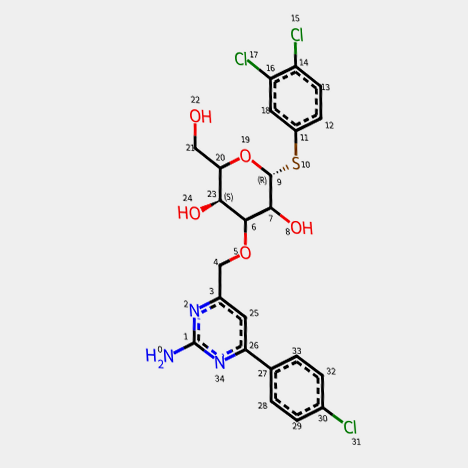 Nc1nc(COC2C(O)[C@@H](Sc3ccc(Cl)c(Cl)c3)OC(CO)[C@@H]2O)cc(-c2ccc(Cl)cc2)n1